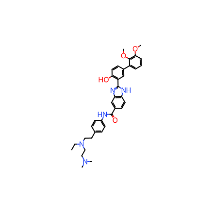 CCN(CCc1ccc(NC(=O)c2ccc3[nH]c(-c4cc(-c5cccc(OC)c5OC)ccc4O)nc3c2)cc1)CCN(C)C